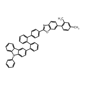 Cc1ccc(-c2ccc3nc(-c4ccc(-c5ccccc5-c5ccccc5-c5ccc6c(c5)c5ccccc5n6-c5ccccc5)cc4)oc3c2)c(C)c1